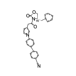 N#Cc1ccc(-c2ccc(-n3ccc(CC(=O)N4C(=O)OC[C@@H]4Cc4ccccc4)c3)cc2)cc1